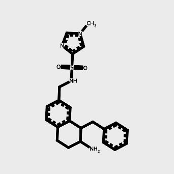 Cn1cnc(S(=O)(=O)NCc2ccc3c(c2)C(Cc2ccccc2)C(N)CC3)c1